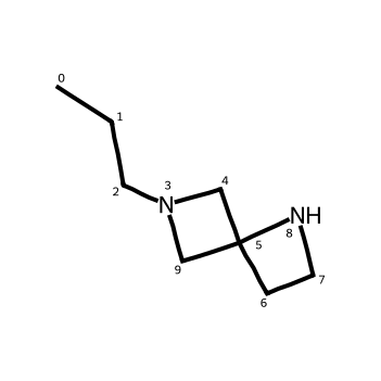 CCCN1CC2(CCN2)C1